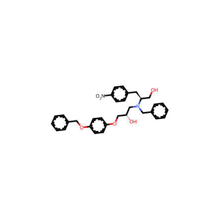 O=[N+]([O-])c1ccc(C[C@@H](CO)N(Cc2ccccc2)C[C@H](O)COc2ccc(OCc3ccccc3)cc2)cc1